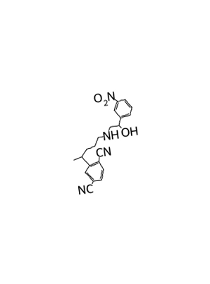 CC(CCCNCC(O)c1cccc([N+](=O)[O-])c1)c1cc(C#N)ccc1C#N